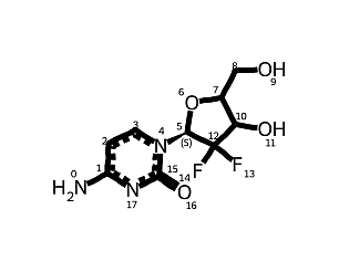 Nc1ccn([C@H]2OC(CO)C(O)C2(F)F)c(=O)n1